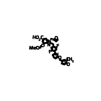 COCCOc1cc(C(=O)O)cc2c1nc(Cc1cc(F)c(-c3cccc(OCc4ccc(=O)n(C)c4)n3)cc1F)n2C[C@@H]1CCO1